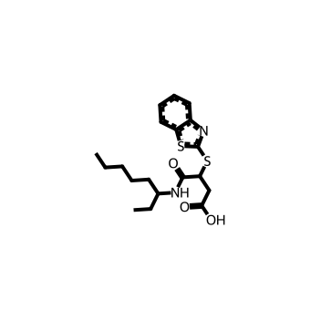 CCCCCC(CC)NC(=O)C(CC(=O)O)Sc1nc2ccccc2s1